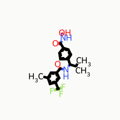 Cc1cc(C(=O)NC(c2ccc(C(=O)NO)cc2)C(C)C)cc(C(F)(F)F)c1